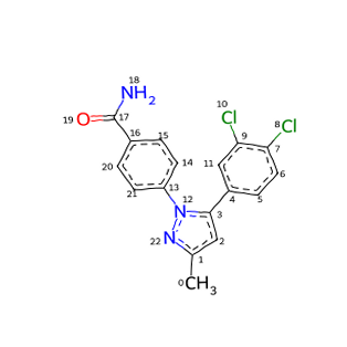 Cc1cc(-c2ccc(Cl)c(Cl)c2)n(-c2ccc(C(N)=O)cc2)n1